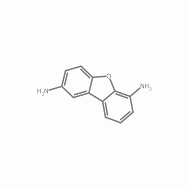 Nc1ccc2oc3c(N)cccc3c2c1